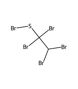 BrSC(Br)(Br)C(Br)Br